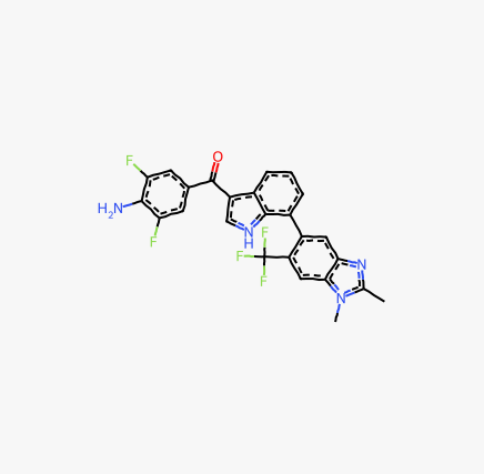 Cc1nc2cc(-c3cccc4c(C(=O)c5cc(F)c(N)c(F)c5)c[nH]c34)c(C(F)(F)F)cc2n1C